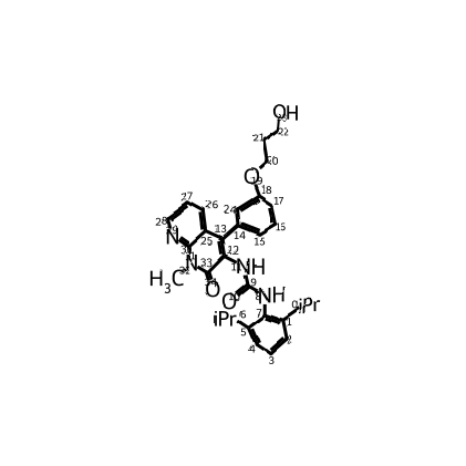 CC(C)c1cccc(C(C)C)c1NC(=O)Nc1c(-c2cccc(OCCCO)c2)c2cccnc2n(C)c1=O